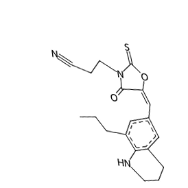 CCCc1cc(/C=C2/OC(=S)N(CCC#N)C2=O)cc2c1NCCC2